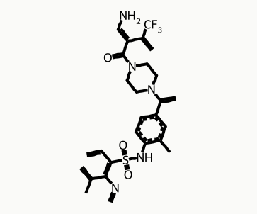 C=C/C(=C(/N=C)C(=C)C)S(=O)(=O)Nc1ccc(C(=C)N2CCN(C(=O)/C(=C/N)C(=C)C(F)(F)F)CC2)cc1C